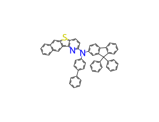 c1ccc(-c2ccc(N(c3ccc4c(c3)C(c3ccccc3)(c3ccccc3)c3ccccc3-4)c3ccc4sc5cc6ccccc6cc5c4n3)cc2)cc1